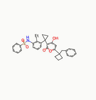 CCc1c(NS(=O)(=O)c2ccccc2)cccc1C1(c2c(O)cc(C3(Cc4ccccc4)CCC3)oc2=O)CC1